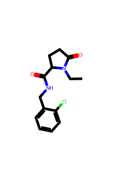 CCN1C(=O)CCC1C(=O)NCc1ccccc1Cl